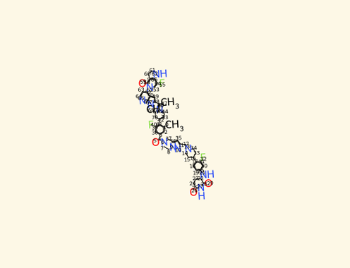 Cc1cc(C(=O)N2CCn3nc(CN4CCC(c5ccc(NC6CCC(=O)NC6=O)cc5F)CC4)cc3C2)cc(F)c1C1=CCN([C@@H](C)c2cc3c(-n4cc(F)c5c(c4=O)CCN5)ccnc3n2C)CC1